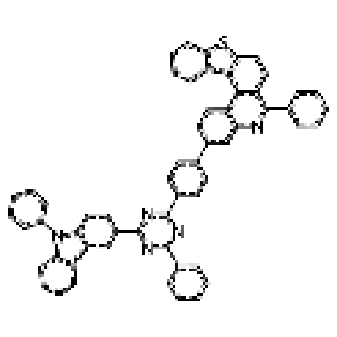 c1ccc(-c2nc(-c3ccc(-c4ccc5c(c4)nc(-c4ccccc4)c4ccc6sc7ccccc7c6c45)cc3)nc(-c3ccc4c(c3)c3ccccc3n4-c3ccccc3)n2)cc1